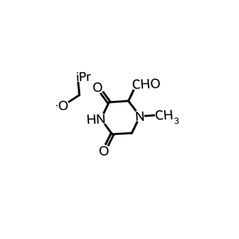 CC(C)C[O].CN1CC(=O)NC(=O)C1C=O